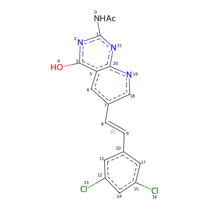 CC(=O)Nc1nc(O)c2cc(/C=C/c3cc(Cl)cc(Cl)c3)cnc2n1